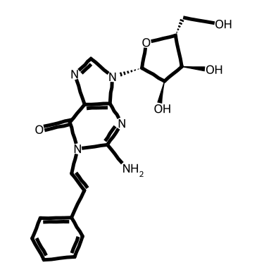 Nc1nc2c(ncn2[C@@H]2O[C@H](CO)[C@@H](O)[C@H]2O)c(=O)n1/C=C/c1ccccc1